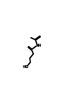 C=C(C)NC(=C)CCCO